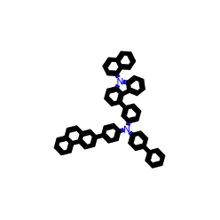 c1ccc(-c2ccc(N(c3ccc(-c4ccc5c(ccc6ccccc65)c4)cc3)c3cccc(-c4cccc5c4c4ccccc4n5-c4cccc5ccccc45)c3)cc2)cc1